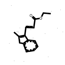 CCOC(=O)C=CC1=C(C)Cc2ccccc21